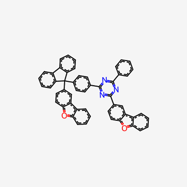 c1ccc(-c2nc(-c3ccc(C4(c5ccc6oc7ccccc7c6c5)c5ccccc5-c5ccccc54)cc3)nc(-c3ccc4oc5ccccc5c4c3)n2)cc1